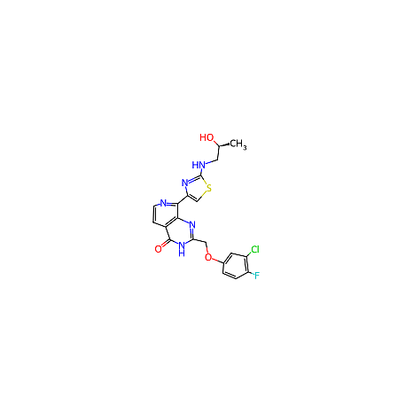 C[C@H](O)CNc1nc(-c2nccc3c(=O)[nH]c(COc4ccc(F)c(Cl)c4)nc23)cs1